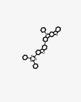 c1ccc(-c2nc(-c3ccccc3)nc(-c3ccc4c(c3)oc3ccc(-c5ccc6c(c5)c5cc7sc8ccccc8c7cc5n6-c5ccccc5)cc34)n2)cc1